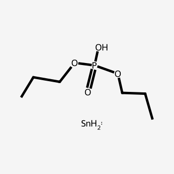 CCCOP(=O)(O)OCCC.[SnH2]